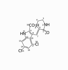 O=C1NCCC/C1=C\c1c(C(=O)O)[nH]c2cc(Cl)cc(Cl)c12